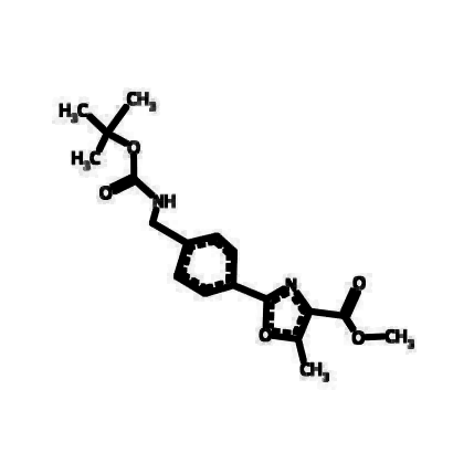 COC(=O)c1nc(-c2ccc(CNC(=O)OC(C)(C)C)cc2)oc1C